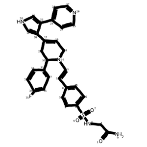 NC(=O)CNS(=O)(=O)c1ccc(C=CN2CC=C(c3c[nH]cc3-c3ccncc3)CC2c2ccc(F)cc2)cc1